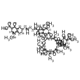 CC[C@H]1OC(=O)[C@H](C)[C@@H](O[C@H]2C[C@@](C)(OC)[C@@H](OC(=O)NCCNCc3ccc4c(c3)c(=O)c(C(=O)O)cn4CC)[C@H](C)O2)[C@H](C)[C@@H](O[C@@H]2O[C@H](C)C[C@H](N(C)C)[C@H]2O)[C@](C)(OC)C[C@@H](C)C(=O)[C@H](C)[C@@H](O)[C@]1(C)O